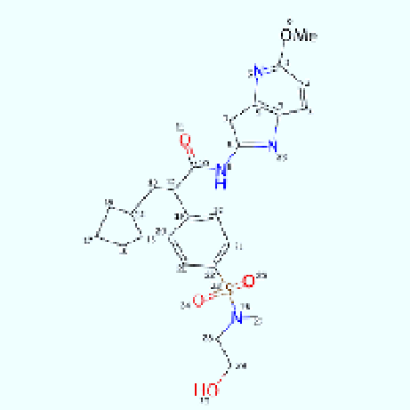 COc1ccc2c(n1)CC(NC(=O)C(CC1CCCC1)c1ccc(S(=O)(=O)N(C)CCO)cc1)=N2